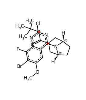 COc1cc2c(N3[C@@H]4CC[C@H]3CN(C(=O)OC(C)(C)C)C4)nc(Cl)nc2c(F)c1Br